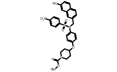 CC(C)(C)OC(=O)N1CCC(Oc2ccc(N(Cc3ccc4ccc(C#N)cc4c3)S(=O)(=O)c3ccc([N+](=O)[O-])cc3)cc2)CC1